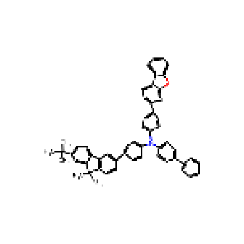 CC(C)(C)c1ccc2c(c1)C(C)(C)c1ccc(-c3ccc(N(c4ccc(-c5ccccc5)cc4)c4ccc(-c5ccc6c(c5)oc5ccccc56)cc4)cc3)cc1-2